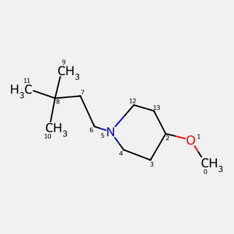 COC1CCN(CCC(C)(C)C)CC1